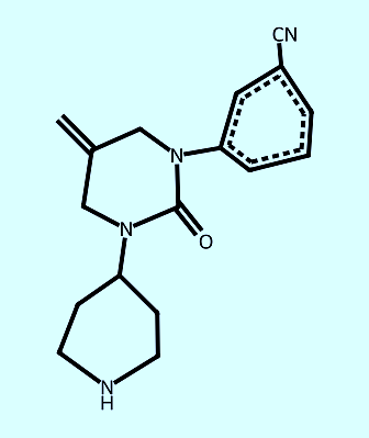 C=C1CN(c2cccc(C#N)c2)C(=O)N(C2CCNCC2)C1